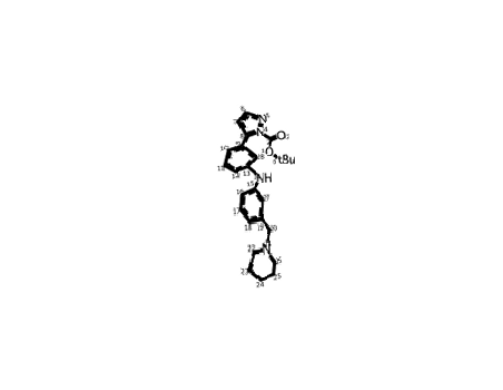 CC(C)(C)OC(=O)n1nccc1-c1cccc(Nc2cccc(CN3CCCCC3)c2)c1